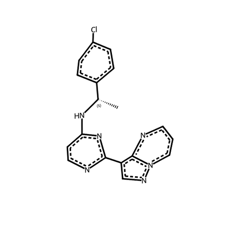 C[C@H](Nc1ccnc(-c2cnn3cccnc23)n1)c1ccc(Cl)cc1